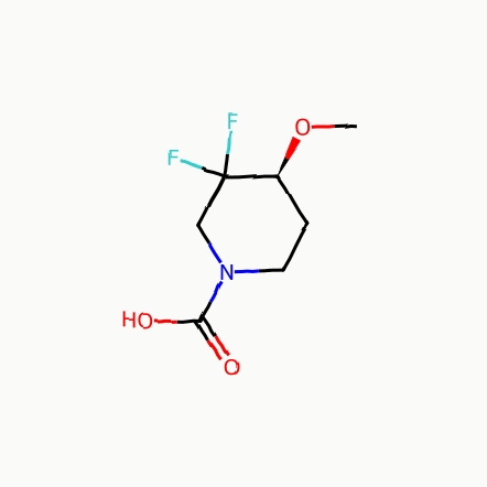 CO[C@H]1CCN(C(=O)O)CC1(F)F